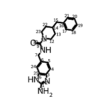 Nc1nc2ccc(CNC(=O)N3CCC(Cc4ccccc4)CC3)cc2[nH]1